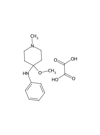 COC1(Nc2ccccc2)CCN(C)CC1.O=C(O)C(=O)O